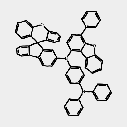 c1ccc(-c2ccc(N(c3ccc(N(c4ccccc4)c4ccccc4)cc3)c3ccc4c(c3)C3(c5ccccc5Oc5ccccc53)c3ccccc3-4)c3c2oc2ccccc23)cc1